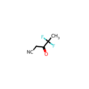 CC(F)(F)C(=O)CC#N